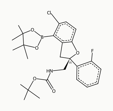 CC(C)(C)OC(=O)NC[C@@]1(c2ccccc2F)Cc2c(ccc(Cl)c2B2OC(C)(C)C(C)(C)O2)O1